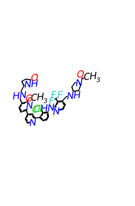 COc1nc(-c2ccnc(-c3cccc(Nc4nccc(CNC5CCN(C(C)=O)CC5)c4C(F)(F)F)c3Cl)c2Cl)ccc1CNCC1CCC(=O)N1